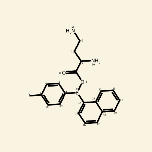 Cc1ccc(B(OC(=O)C(N)CCN)c2cccc3ccccc23)cc1